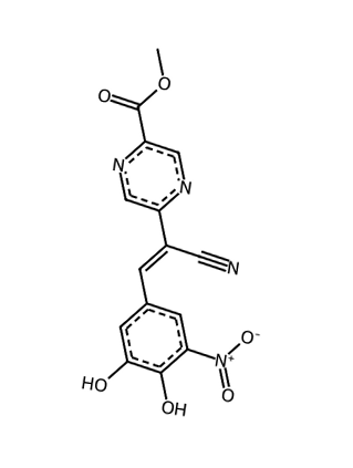 COC(=O)c1cnc(C(C#N)=Cc2cc(O)c(O)c([N+](=O)[O-])c2)cn1